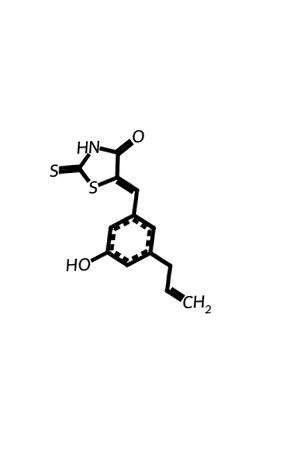 C=CCc1cc(O)cc(/C=C2\SC(=S)NC2=O)c1